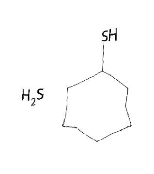 S.SC1CCCCC1